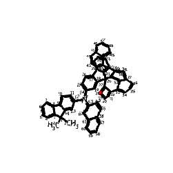 CC1(C)c2ccccc2-c2ccc(N(c3ccc4c(c3)C3(c5ccccc5-4)c4ccccc4-c4cccc5ccc(-c6cccc7ccccc67)c3c45)c3ccc4ccccc4c3)cc21